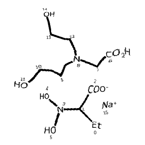 CCC(C(=O)[O-])N(O)O.O=C(O)CN(CCO)CCO.[Na+]